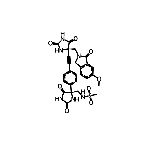 COc1ccc2c(c1)C(=O)N(C[C@@]1(C#Cc3ccc([C@]4(CNS(C)(=O)=O)NC(=O)NC4=O)cc3)NC(=O)NC1=O)C2